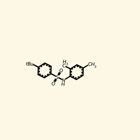 Cc1ccc(NS(=O)(=O)c2ccc(C(C)(C)C)cc2)c(C)c1